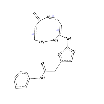 C=C1/C=C\NN/C(Nc2ncc(CC(=O)Nc3ccccc3)s2)=C\C=N/1